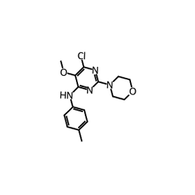 COc1c(Cl)nc(N2CCOCC2)nc1Nc1ccc(C)cc1